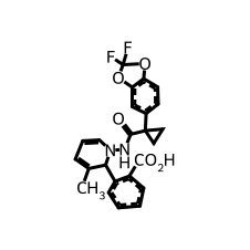 CC1=CC=CN(NC(=O)C2(c3ccc4c(c3)OC(F)(F)O4)CC2)C1c1ccccc1C(=O)O